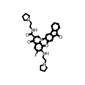 O=C(NCCN1CCCC1)c1cn2c3cc4c(cc3oc3c(NCCN5CCCC5)c(F)cc(c1=O)c32)c(=O)c1ccccc14